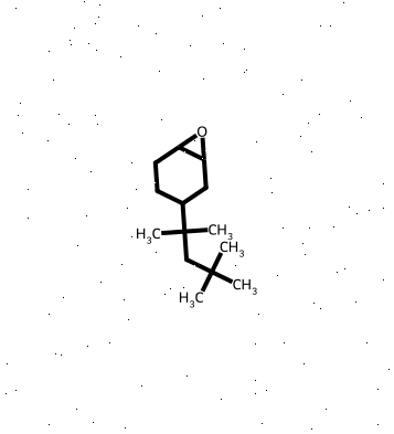 CC(C)(C)CC(C)(C)C1CCC2OC2C1